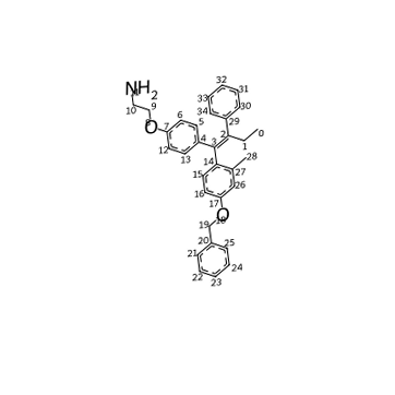 CCC(=C(c1ccc(OCCN)cc1)c1ccc(OCc2ccccc2)cc1C)c1ccccc1